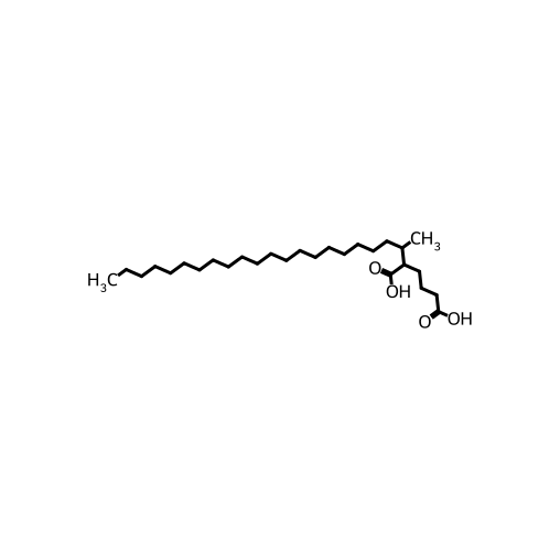 CCCCCCCCCCCCCCCCCCCCC(C)C(CCCC(=O)O)C(=O)O